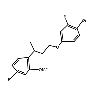 COc1cc(F)ccc1C(C)CCOc1ccc(C(C)C)c(F)c1